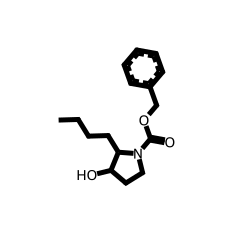 CCCCC1C(O)CCN1C(=O)OCc1ccccc1